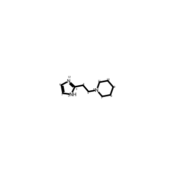 c1c[nH]c(CCN2CCCCC2)n1